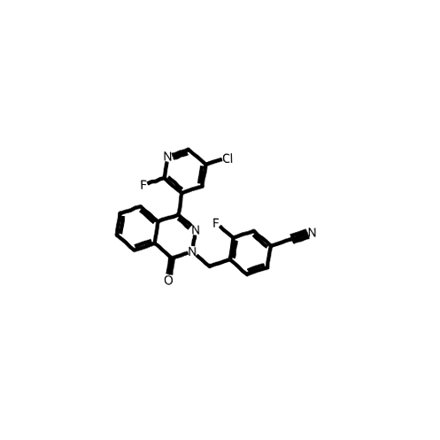 N#Cc1ccc(Cn2nc(-c3cc(Cl)cnc3F)c3ccccc3c2=O)c(F)c1